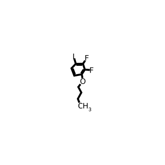 CCCCOc1ccc(I)c(F)c1F